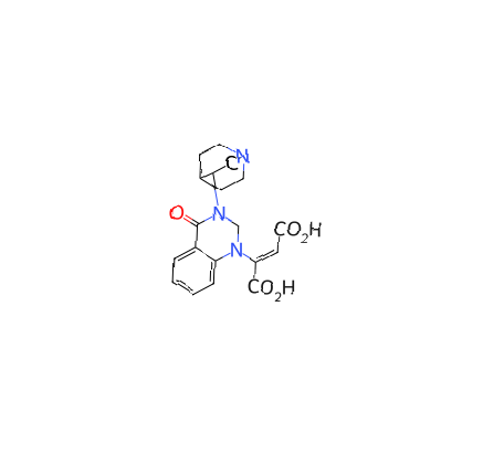 O=C(O)/C=C(/C(=O)O)N1CN(C2CN3CCC2CC3)C(=O)c2ccccc21